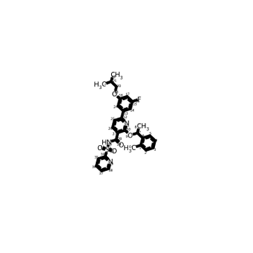 Cc1ccccc1C(C)Oc1nc(-c2cc(F)cc(OCC(C)C)c2)ccc1C(=O)NS(=O)(=O)c1ccccn1